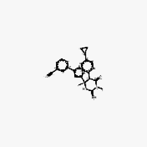 CN1C(=N)N[C@](C)(c2cc(-c3cccc(C#N)c3)cs2)C(c2ccc(C3CC3)cc2)C1=O